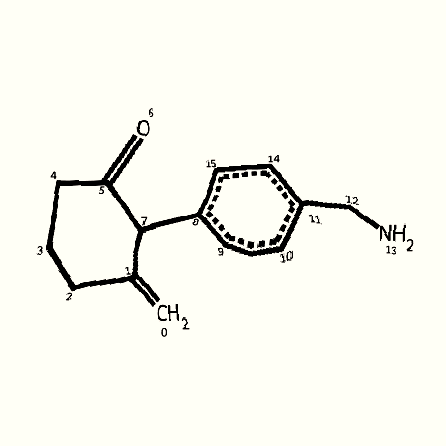 C=C1CCCC(=O)C1c1ccc(CN)cc1